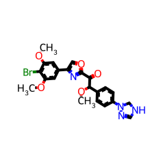 COc1cc(-c2coc(C(=O)C(OC)c3ccc(N4CNC=N4)cc3)n2)cc(OC)c1Br